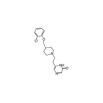 O=c1cncc(CCN2CCC(COc3ccccc3Cl)CC2)[nH]1